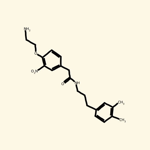 Cc1ccc(CCCNC(=O)Cc2ccc(OCCN)c([N+](=O)[O-])c2)cc1C